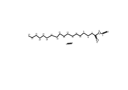 C=C.C=COC(=O)CCCCCCCCCCCCCCCCC